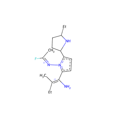 CC/C(C)=C(\N)c1ccc(C2CCC(CC)N2)n1/N=C(\C)F